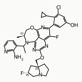 CC(c1cccnc1N)N1c2nc(OC[C@@]34CCCN3C[C@H](F)C4)nc3c(F)c(-c4cc(O)cc(Cl)c4C4CC4)nc(c23)OC[C@@H]1C